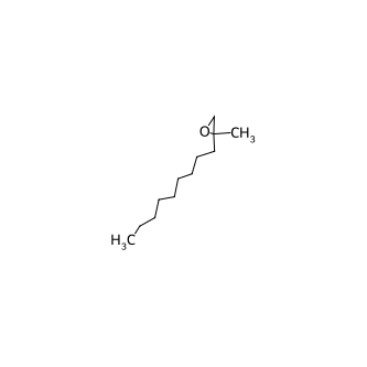 CCCCCCCCCC1(C)CO1